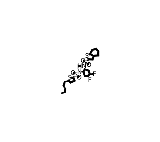 C/C=C\C=C/c1ccc(S(=O)(=O)Nc2cc(F)c(F)cc2NS(=O)(=O)c2cc3ccccc3s2)s1